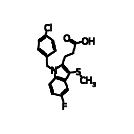 CSc1c(CCC(=O)O)n(Cc2ccc(Cl)cc2)c2ccc(F)cc12